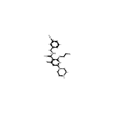 CCCSc1nc(N2CCOCC2)cc(C)c1C(=O)NCc1cccc(F)c1